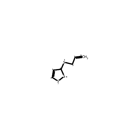 C=CCSC1C=CSS1